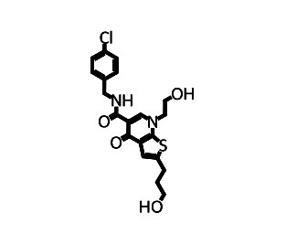 O=C(NCc1ccc(Cl)cc1)c1cn(CCO)c2sc(CCCO)cc2c1=O